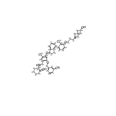 N#Cc1cncc(COc2cc(O[C@H]3CCc4c(-c5cccc(OCCCN6CC7(CC(O)C7)C6)c5Cl)cccc43)c(Cl)cc2CN[C@@H]2CCCC[C@@H]2O)c1